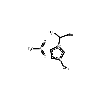 CCCCC(C)[n+]1ccn(C)c1.O=[SH](=O)C(F)(F)F